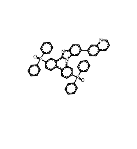 O=P(c1ccccc1)(c1ccccc1)c1ccc2c3ccc(P(=O)(c4ccccc4)c4ccccc4)cc3n3c4cc(-c5ccc6cccnc6c5)ccc4nc3c2c1